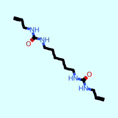 C=CCNC(=O)NCCCCCCNC(=O)NCC=C